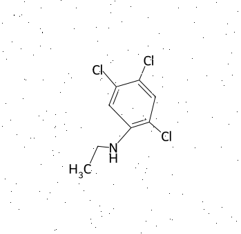 CCNc1cc(Cl)c(Cl)cc1Cl